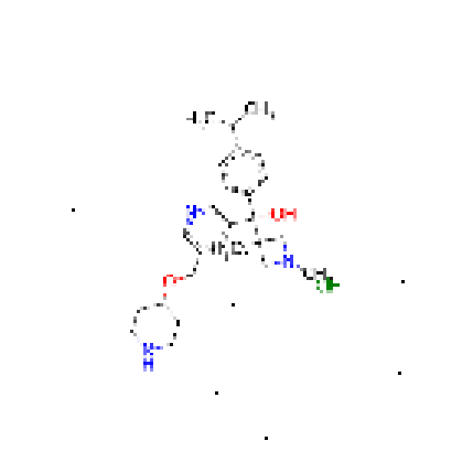 CC(C)c1ccc([C@](O)(c2cncc(COC3CCNCC3)c2)C2(C)CN(C)C2)cc1.Cl